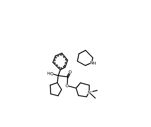 C1CCNCC1.C[N+]1(C)CCC(OC(=O)C(O)(c2ccccc2)C2CCCC2)CC1